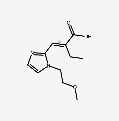 CC/C(=C\c1nccn1CCOC)C(=O)O